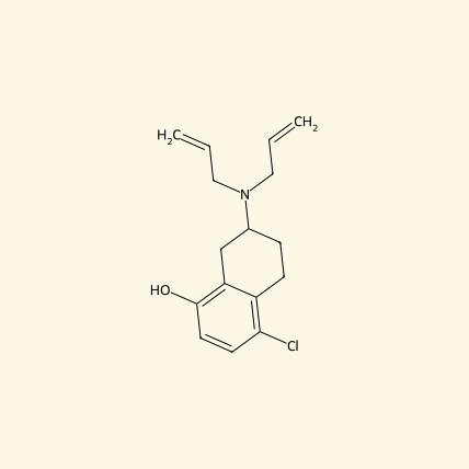 C=CCN(CC=C)C1CCc2c(Cl)ccc(O)c2C1